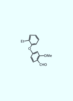 [CH2]Cc1ccccc1Oc1ccc(C=O)c(OC)c1